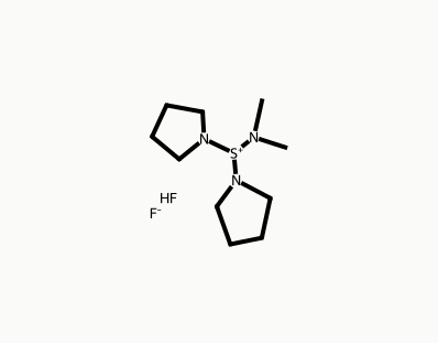 CN(C)[S+](N1CCCC1)N1CCCC1.F.[F-]